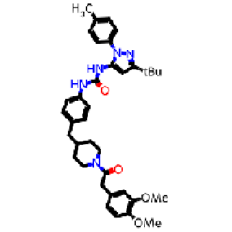 COc1ccc(CC(=O)N2CCC(Cc3ccc(NC(=O)Nc4cc(C(C)(C)C)nn4-c4ccc(C)cc4)cc3)CC2)cc1OC